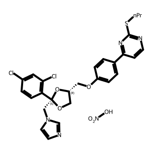 CCCSc1nccc(-c2ccc(OC[C@@H]3CO[C@@](Cn4ccnc4)(c4ccc(Cl)cc4Cl)O3)cc2)n1.O=[N+]([O-])O